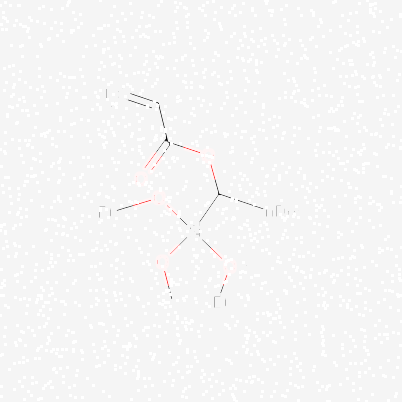 C=CC(=O)OC(CCCCCCCCCC)[Si](OCC)(OCC)OCC